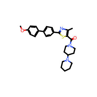 COc1ccc(-c2ccc(-c3nc(C)c(C(=O)N4CCC(N5CCCCC5)CC4)s3)cc2)cc1